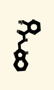 Nc1nccnc1C(=O)NCc1nc2ccccc2[nH]1